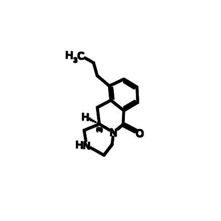 CCCc1cccc2c1C[C@@H]1CNCCN1C2=O